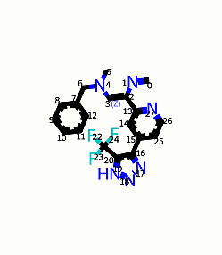 C=N/C(=C\N(C)Cc1ccccc1)c1cc(-c2nn[nH]c2C(F)(F)F)ccn1